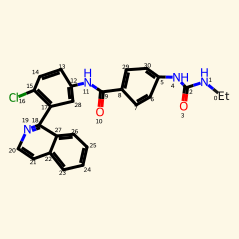 CCNC(=O)Nc1ccc(C(=O)Nc2ccc(Cl)c(-c3nccc4ccccc34)c2)cc1